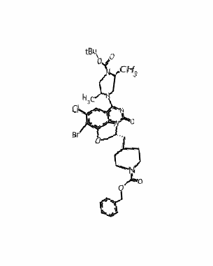 C[C@H]1CN(c2nc(=O)n3c4c(c(Br)c(Cl)cc24)OC[C@H]3CC2CCN(C(=O)OCc3ccccc3)CC2)[C@@H](C)CN1C(=O)OC(C)(C)C